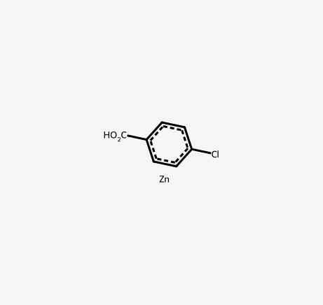 O=C(O)c1ccc(Cl)cc1.[Zn]